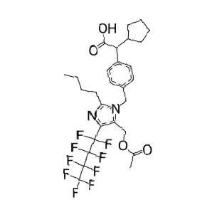 CCCCc1nc(C(F)(F)C(F)(F)C(F)(F)C(F)(F)F)c(COC(C)=O)n1Cc1ccc(C(C(=O)O)C2CCCC2)cc1